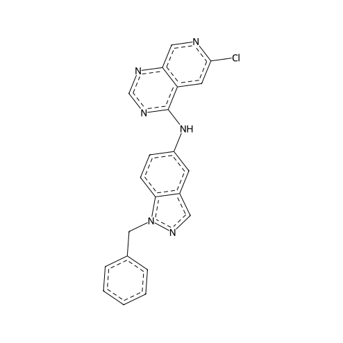 Clc1cc2c(Nc3ccc4c(cnn4Cc4ccccc4)c3)ncnc2cn1